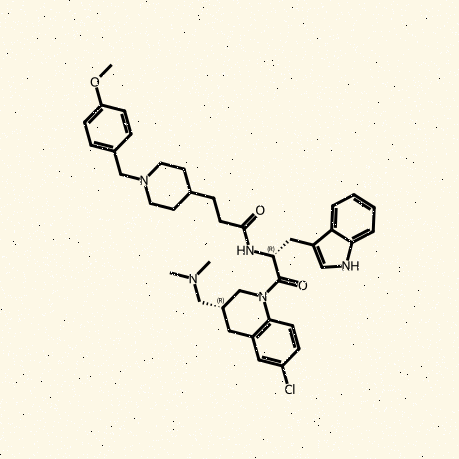 COc1ccc(CN2CCC(CCC(=O)N[C@H](Cc3c[nH]c4ccccc34)C(=O)N3C[C@@H](CN(C)C)Cc4cc(Cl)ccc43)CC2)cc1